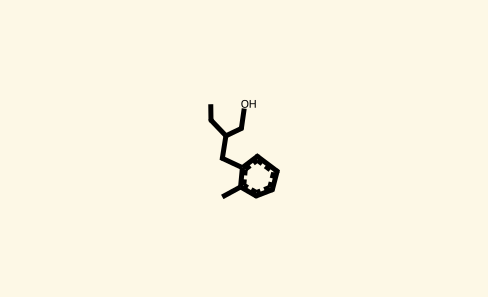 CCC(CO)Cc1ccccc1C